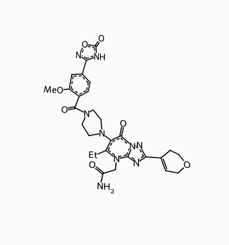 CCc1c(N2CCN(C(=O)c3ccc(-c4noc(=O)[nH]4)cc3OC)CC2)c(=O)n2nc(C3=CCOCC3)nc2n1CC(N)=O